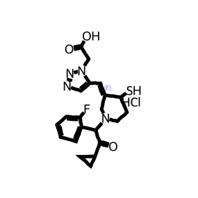 Cl.O=C(O)Cn1nncc1/C=C1\CN(C(C(=O)C2CC2)c2ccccc2F)CCC1S